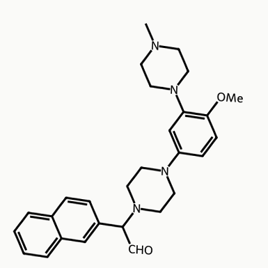 COc1ccc(N2CCN(C(C=O)c3ccc4ccccc4c3)CC2)cc1N1CCN(C)CC1